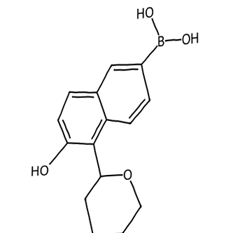 OB(O)c1ccc2c(C3CCCCO3)c(O)ccc2c1